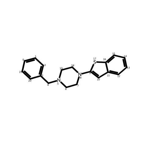 c1ccc(CN2CCN(c3cc4ccccc4s3)CC2)cc1